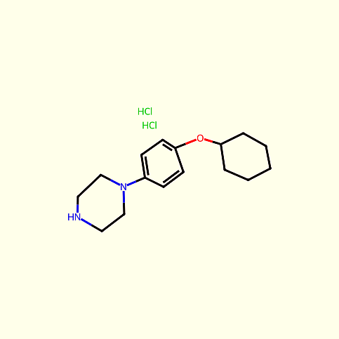 Cl.Cl.c1cc(N2CCNCC2)ccc1OC1CCCCC1